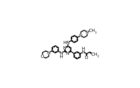 C=CC(=O)Nc1cccc(-c2cc(Nc3ccc(N4CCN(C)CC4)cc3)nc(Nc3cccc(N4CCOCC4)c3)n2)c1